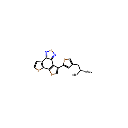 CCCCCCC(CCCC)Cc1csc(-c2csc3c4sccc4c4nsnc4c23)c1